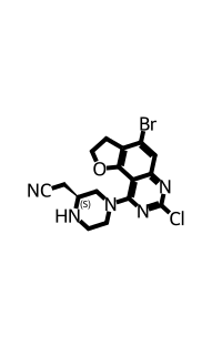 N#CC[C@H]1CN(c2nc(Cl)nc3cc(Br)c4c(c23)OCC4)CCN1